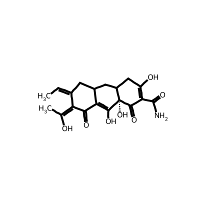 C/C=C1/CC2CC3CC(O)=C(C(N)=O)C(=O)[C@@]3(O)C(O)=C2C(=O)/C1=C(/C)O